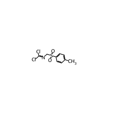 Cc1ccc(S(=O)(=O)CN=C(Cl)Cl)cc1